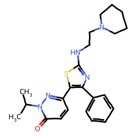 CC(C)n1nc(-c2sc(NCCN3CCCCC3)nc2-c2ccccc2)ccc1=O